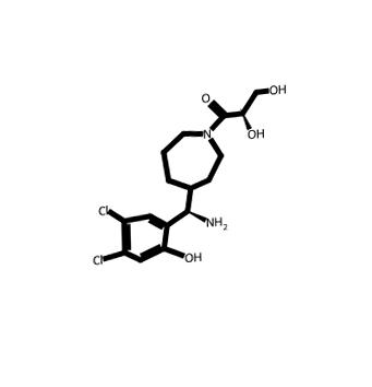 N[C@@H](c1cc(Cl)c(Cl)cc1O)C1CCCN(C(=O)[C@H](O)CO)CC1